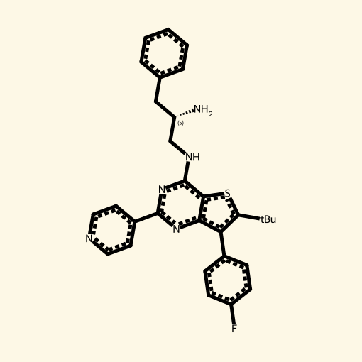 CC(C)(C)c1sc2c(NC[C@@H](N)Cc3ccccc3)nc(-c3ccncc3)nc2c1-c1ccc(F)cc1